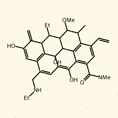 C=Cc1cc(C(=O)NC)c2c3c1C(C)C(OC)C1C(CC)C4C(=C)C(O)=CC5=C4C(O)(C(=C2O)C=C5CNCC)C31